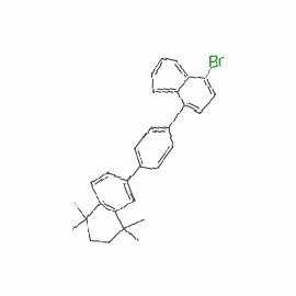 CC1(C)CCC(C)(C)c2cc(-c3ccc(-c4ccc(Br)c5ccccc45)cc3)ccc21